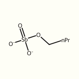 CCCC[O][Sb](=[O])([O-])[O-]